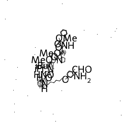 CC[C@H](C)[C@@H]([C@@H](CC(=O)N1CCCC1[C@H](OC)[C@@H](C)C(=O)NC(Cc1ccccc1)C(=O)OC)OC)N(C)C(=O)C(NC(=O)[C@@H]1[C@H]2CC[C@H](C2)N1CCCCCCOc1ccc(C=O)c(N)c1)C(C)C